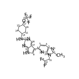 Cc1nc2ccc(-c3c[nH]c4nc(NC5CCC(OC(F)(F)F)CC5)ncc34)nc2n1CC(F)F